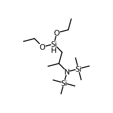 CCO[SiH](CC(C)N([Si](C)(C)C)[Si](C)(C)C)OCC